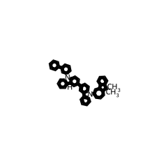 CC1(C)C2C=CCCC2C2CC(N3C4=C(C=CCC4)C4C=C(C5CCC6[C@@H](C5)C5CCCCC5N6C5CCCC(C6CCCCC6)C5)CCC43)CCCC21